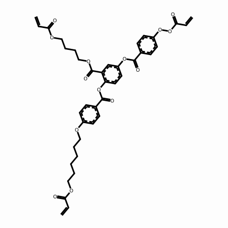 C=CC(=O)OCCCCCCOc1ccc(C(=O)Oc2ccc(OC(=O)c3ccc(OOC(=O)C=C)cc3)cc2C(=O)OCCCCOC(=O)C=C)cc1